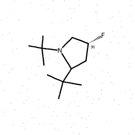 CC(C)(C)C1C[C@@H](F)CN1C(C)(C)C